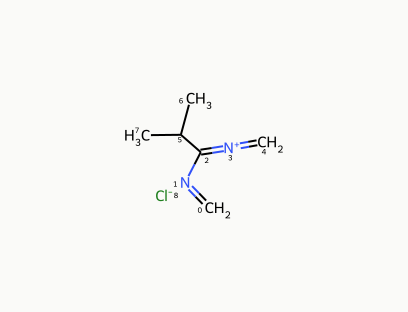 C=NC(=[N+]=C)C(C)C.[Cl-]